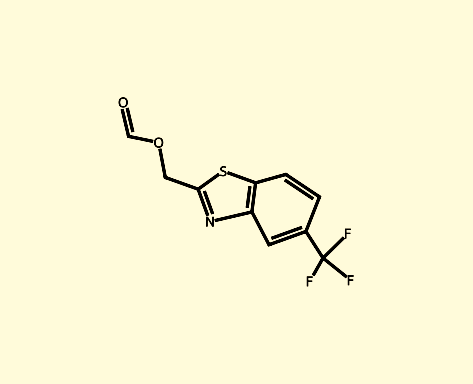 O=COCc1nc2cc(C(F)(F)F)ccc2s1